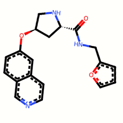 O=C(NCc1ccco1)[C@@H]1C[C@@H](Oc2ccc3cnccc3c2)CN1